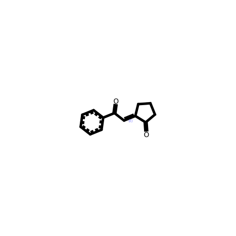 O=C1CCC/C1=C\C(=O)c1ccccc1